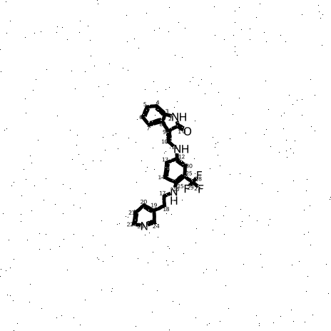 O=C1Nc2ccccc2C1=CNc1ccc(NCCc2cccnc2)c(C(F)(F)F)c1